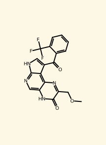 COCc1nc2c(cnc3[nH]cc(C(=O)c4ccccc4C(F)(F)F)c32)[nH]c1=O